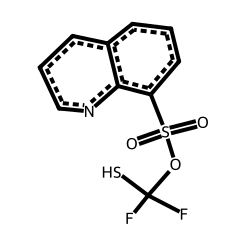 O=S(=O)(OC(F)(F)S)c1cccc2cccnc12